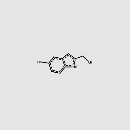 N#CCc1cc2cc(O)ccc2[nH]1